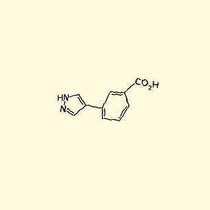 O=C(O)c1cccc(-c2cn[nH]c2)c1